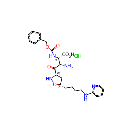 Cl.NC(C(=O)[C@H]1C[C@H](CCCCNc2ccccn2)ON1)[C@H](NC(=O)OCc1ccccc1)C(=O)O